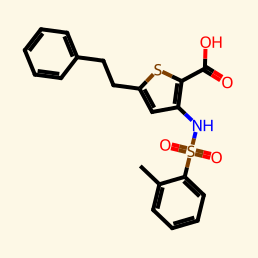 Cc1ccccc1S(=O)(=O)Nc1cc(CCc2ccccc2)sc1C(=O)O